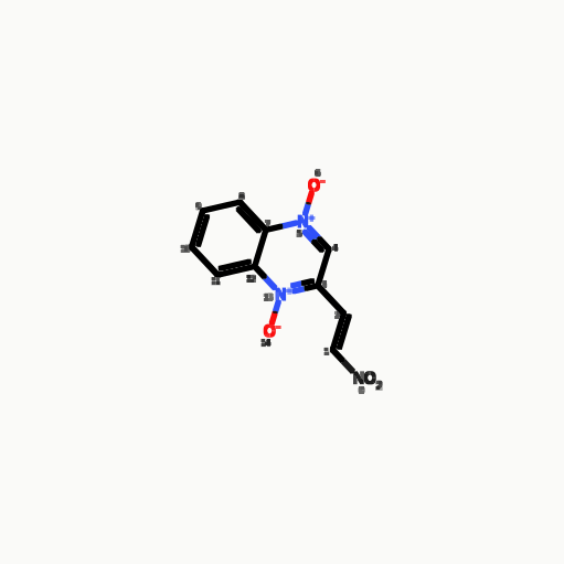 O=[N+]([O-])C=Cc1c[n+]([O-])c2ccccc2[n+]1[O-]